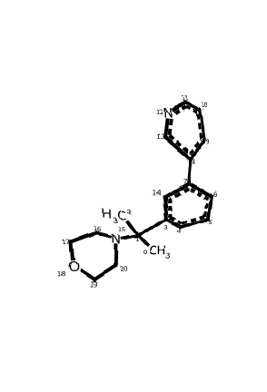 CC(C)(c1cccc(-c2c[c]cnc2)c1)N1CCOCC1